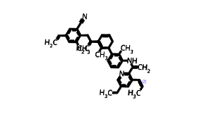 C=Cc1cc(C)c(CC(=C)C2=C(C)C(c3cccc(NC(=C)c4ncc(CC)cc4/C=C\C)c3C)CC=C2)c(C#N)c1